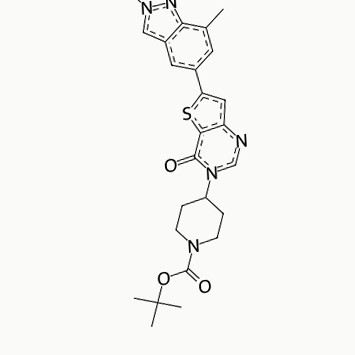 Cc1cc(-c2cc3ncn(C4CCN(C(=O)OC(C)(C)C)CC4)c(=O)c3s2)cc2cn(C)nc12